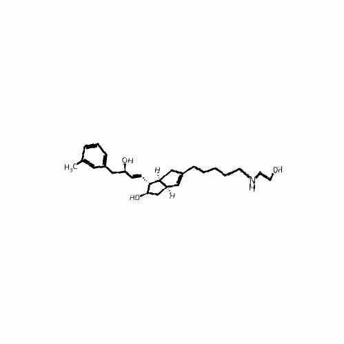 Cc1cccc(C[C@@H](O)/C=C/[C@@H]2[C@H]3CC(CCCCCNCCO)=C[C@H]3C[C@H]2O)c1